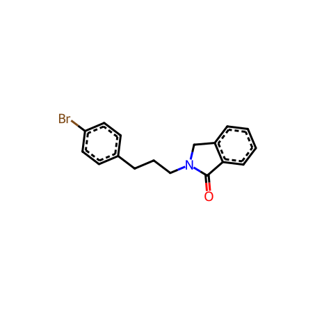 O=C1c2ccccc2CN1CCCc1ccc(Br)cc1